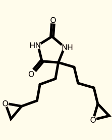 O=C1NC(=O)C(CCCC2CO2)(CCCC2CO2)N1